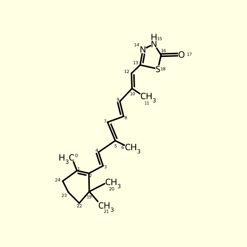 CC1=C(/C=C/C(C)=C/C=C/C(C)=C/c2n[nH]c(=O)s2)C(C)(C)CCC1